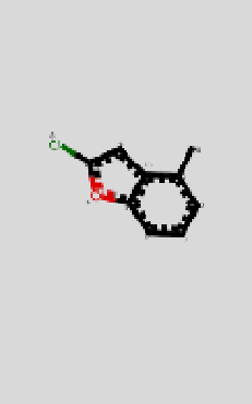 Cc1cccc2oc(Cl)cc12